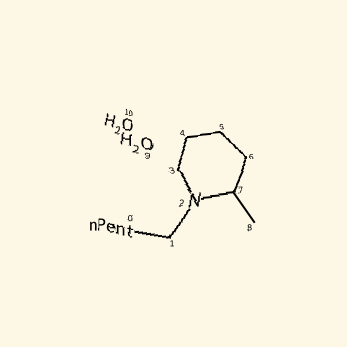 CCCCCCN1CCCCC1C.O.O